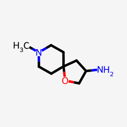 CN1CCC2(CC1)CC(N)CO2